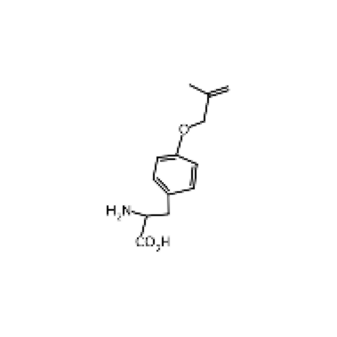 C=C(C)COc1ccc(CC(N)C(=O)O)cc1